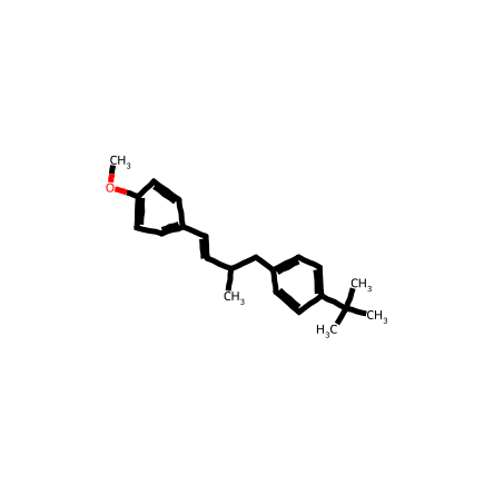 COc1ccc(C=CC(C)Cc2ccc(C(C)(C)C)cc2)cc1